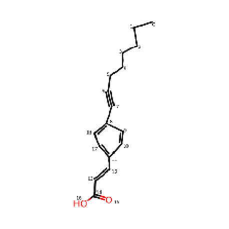 CCCCCCC#Cc1ccc(C=CC(=O)O)cc1